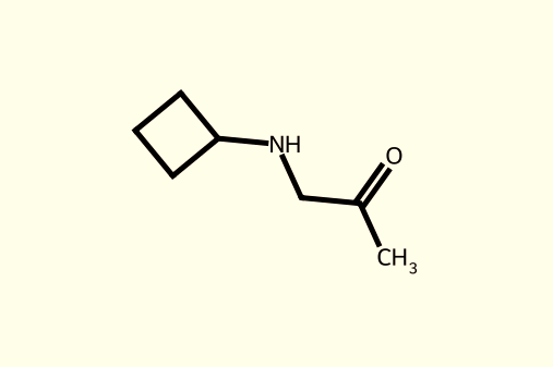 CC(=O)CNC1CCC1